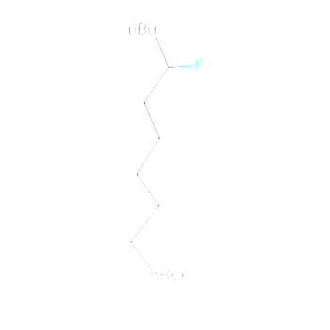 [CH2]CCCC(F)CCCCCCCCCCC